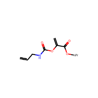 C=CCNC(=O)OC(=C)C(=O)OCCC